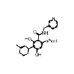 CCCCCc1cc(O)c(C2C=C(C)CCC2)c(O)c1C(=O)NCc1cccnc1